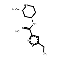 CCc1cc(C(=O)N[C@H]2CCN[C@@H](C)C2)ns1.Cl